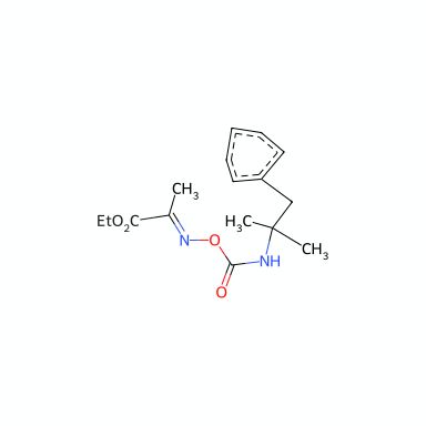 CCOC(=O)C(C)=NOC(=O)NC(C)(C)Cc1ccccc1